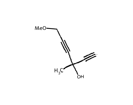 [C]#CC(C)(O)C#CCOC